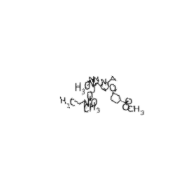 CCCCN(C)C(=O)OCc1c(-c2ccc(O[C@H]3CCC[C@H](C(=O)OC)C3)c(C3CC3)n2)nnn1C